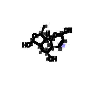 C[C@@H]1OC(O)C2=C[C@@H](O)[C@@H](/C=C\C(=O)O)O[C@@H]21